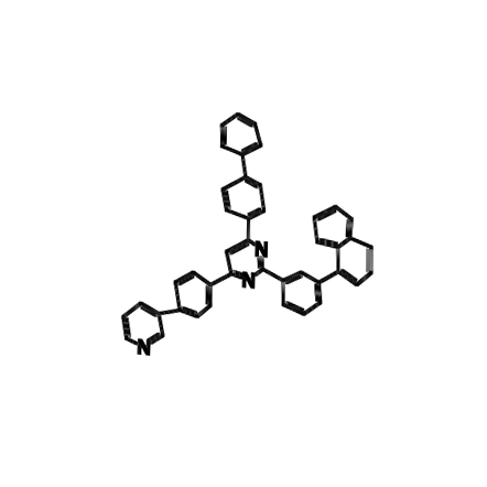 c1ccc(-c2ccc(-c3cc(-c4ccc(-c5cccnc5)cc4)nc(-c4cccc(-c5cccc6ccccc56)c4)n3)cc2)cc1